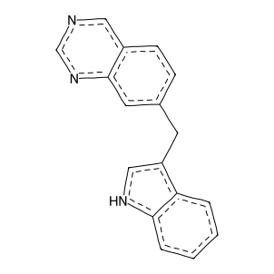 c1ccc2c(Cc3ccc4cncnc4c3)c[nH]c2c1